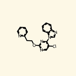 Clc1cnc(OCCc2ccccn2)nc1-n1cnc2ccccc21